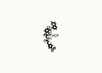 Cc1ccc2cccc(OCc3c(Cl)ccc(N(C)C(=O)CNC(=O)C=Cc4ccc([N+](=O)[O-])cc4)c3Cl)c2n1.Cl